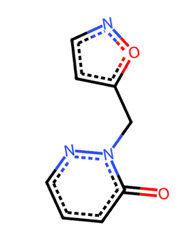 O=c1cccnn1Cc1ccno1